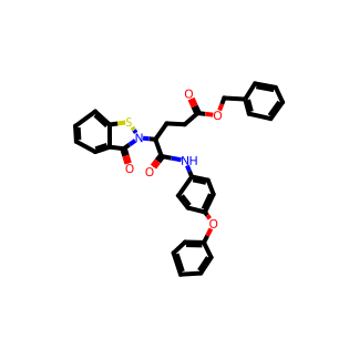 O=C(CCC(C(=O)Nc1ccc(Oc2ccccc2)cc1)n1sc2ccccc2c1=O)OCc1ccccc1